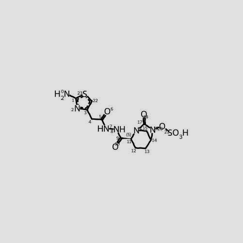 Nc1nc(CC(=O)NNC(=O)[C@@H]2CCC3CN2C(=O)N3OS(=O)(=O)O)cs1